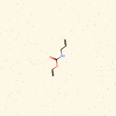 C=CCNC(=O)OC=C